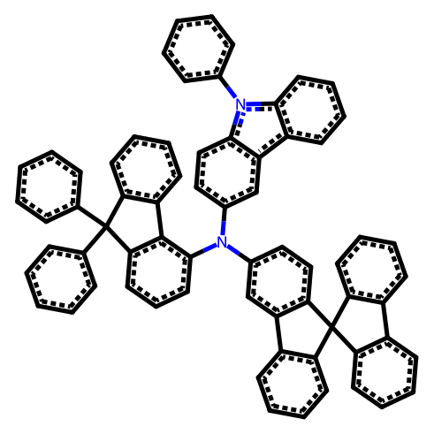 c1ccc(-n2c3ccccc3c3cc(N(c4ccc5c(c4)-c4ccccc4C54c5ccccc5-c5ccccc54)c4cccc5c4-c4ccccc4C5(c4ccccc4)c4ccccc4)ccc32)cc1